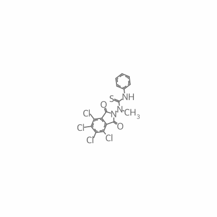 CN(C(=S)Nc1ccccc1)N1C(=O)c2c(Cl)c(Cl)c(Cl)c(Cl)c2C1=O